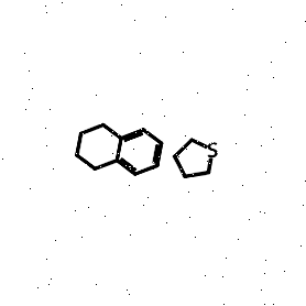 C1CCSC1.c1ccc2c(c1)CCCC2